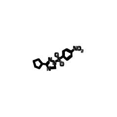 O=[N+]([O-])c1ccc(S(=O)(=O)n2cnc(C3CCCC3)n2)cc1